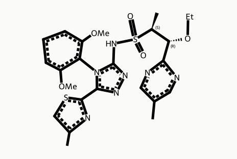 CCO[C@H](c1ncc(C)cn1)[C@H](C)S(=O)(=O)Nc1nnc(-c2nc(C)cs2)n1-c1c(OC)cccc1OC